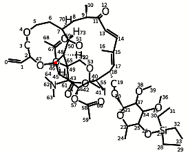 C=CC1COCC[C@H]2C[C@@H](C)C(=O)/C=C/C(C)=C/[C@H](CO[C@@H]3OC(C)C(O[Si](CC)(CC)CC)C(OC)C3OC)[C@@H](I)OC(=O)C[C@@H](O1)[C@H](C)[C@H]2O[C@@H]1OC(C)[C@@H](OC(C)=O)C(N(C)C)C1OC(C)=O